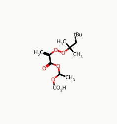 C=C(OOC(C)(C)CC(C)(C)C)C(=O)OC(C)OC(=O)O